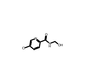 O=C(NCO)c1c[c]c(Cl)cn1